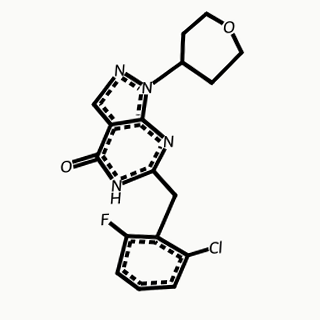 O=c1[nH]c(Cc2c(F)cccc2Cl)nc2c1cnn2C1CCOCC1